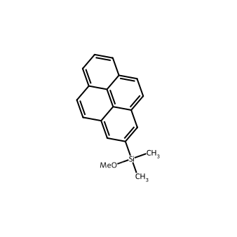 CO[Si](C)(C)c1cc2ccc3cccc4ccc(c1)c2c34